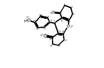 O=C1CCCC2=C1C(c1ccc(O)cc1)C1=C(CCCC1=O)O2